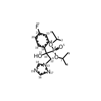 CC(C)OP(=O)(OC(C)C)C(O)(Cn1cncn1)c1ccc(F)cc1